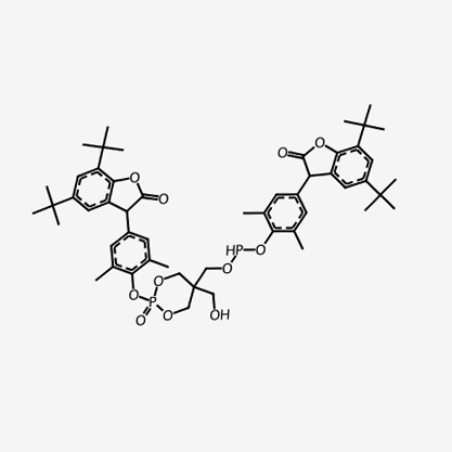 Cc1cc(C2C(=O)Oc3c2cc(C(C)(C)C)cc3C(C)(C)C)cc(C)c1OPOCC1(CO)COP(=O)(Oc2c(C)cc(C3C(=O)Oc4c3cc(C(C)(C)C)cc4C(C)(C)C)cc2C)OC1